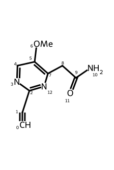 C#Cc1ncc(OC)c(CC(N)=O)n1